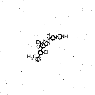 CCn1c(=O)c(-c2ccc(-c3scnc3C)cc2Cl)cc2cnc(Nc3ccc(N4CCNCC4)cc3)nc21